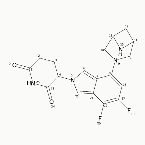 O=C1CCC(n2cc3c(N4CC5CC(C4)N5)cc(F)c(F)c3c2)C(=O)N1